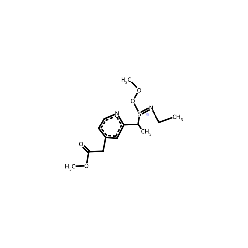 CC/N=S(/OOC)C(C)c1cc(CC(=O)OC)ccn1